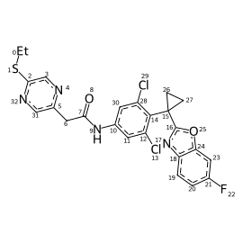 CCSc1cnc(CC(=O)Nc2cc(Cl)c(C3(c4nc5ccc(F)cc5o4)CC3)c(Cl)c2)cn1